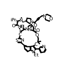 CCn1c(-c2cccnc2)c2c3cc(ccc31)-c1csc(n1)C[C@H](CNC(=O)[C@H](C(C)C)N(C)C[C@H]1CCN(C(=O)C#CCN3CCOCC3)C1)C(=O)N1CCC[C@@H](C(=O)OCC(C)(C)C2)N1C